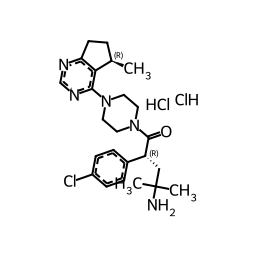 C[C@@H]1CCc2ncnc(N3CCN(C(=O)[C@H](CC(C)(C)N)c4ccc(Cl)cc4)CC3)c21.Cl.Cl